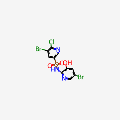 O=S(=O)(Nc1ncc(Br)cc1O)c1cnc(Cl)c(Br)c1